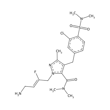 Cc1nn(C/C(F)=C/CN)c(C(=O)N(C)C)c1Cc1ccc(S(=O)(=O)N(C)C)c(Cl)c1